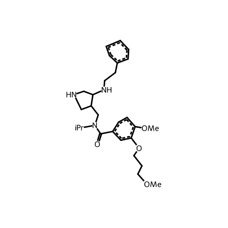 COCCCOc1cc(C(=O)N(CC2CNCC2NCCc2ccccc2)C(C)C)ccc1OC